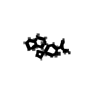 C1CCC1.NC(=O)C1=CC=CC=CN1.c1ccc2ncncc2c1